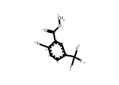 COC(=O)c1cc(C(F)(F)F)ccc1F